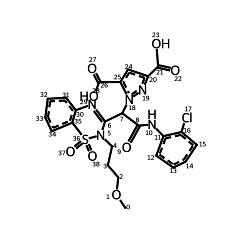 COCCCN1C(C(C(=O)Nc2ccccc2Cl)n2nc(C(=O)O)cc2C(=O)O)=Nc2ccccc2S1(=O)=O